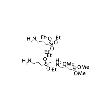 CCO[Si](C)(CCCN)OCC.CCO[Si](CCCN)(OCC)OCC.CO[Si](CCCN)(OC)OC